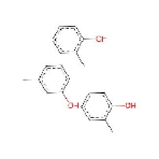 Cc1cccc(O)c1.Cc1ccccc1O.Cc1ccccc1O